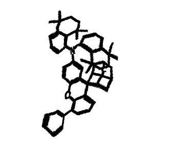 CC1(C)CCC(C)(C)c2c(N(c3ccc4c(c3)C3(c5cccc(-c6ccccc6)c5O4)C4CC5CC6CC3C64C5)c3cccc4c3C(C)(C)CCC4(C)C)cccc21